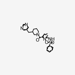 O=C(c1csc(NS(=O)(=O)c2ccccc2)n1)N1CCCC(Cc2cncnc2)C1